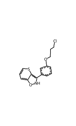 ClCCCOc1cccc(C2=C3SC=CC=C3ON2)c1